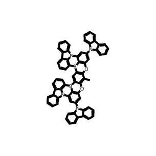 Cc1c2c(cc3c1Oc1cc(-n4c5ccccc5c5ccccc54)cc4c1B3c1cccc3c5ccccc5n-4c13)B1c3c(cc(-n4c5ccccc5c5ccccc54)cc3-n3c4ccccc4c4cccc1c43)O2